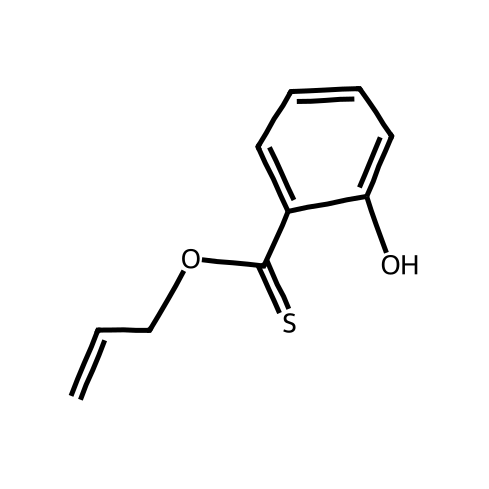 C=CCOC(=S)c1ccccc1O